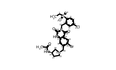 CCS(=O)(=O)c1ccc(Cl)cc1Cn1c(=O)[nH]c2cc(CN3CC[C@@H](NC(C)=O)C3)c(Br)cc2c1=O